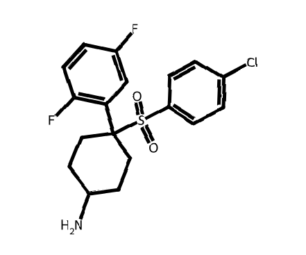 NC1CCC(c2cc(F)ccc2F)(S(=O)(=O)c2ccc(Cl)cc2)CC1